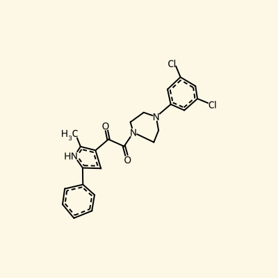 Cc1[nH]c(-c2ccccc2)cc1C(=O)C(=O)N1CCN(c2cc(Cl)cc(Cl)c2)CC1